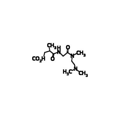 CC(CC(=O)O)C(=O)NCC(=O)N(C)CCN(C)C